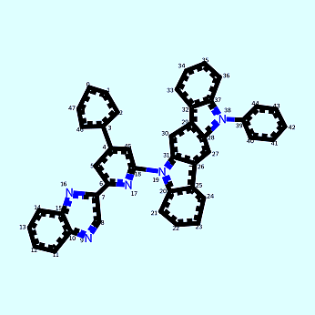 c1ccc(-c2cc(-c3cnc4ccccc4n3)nc(-n3c4ccccc4c4cc5c(cc43)c3ccccc3n5-c3ccccc3)c2)cc1